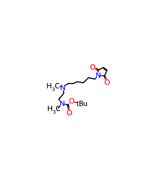 CN(CCCCCCN1C(=O)C=CC1=O)CCN(C)C(=O)OC(C)(C)C